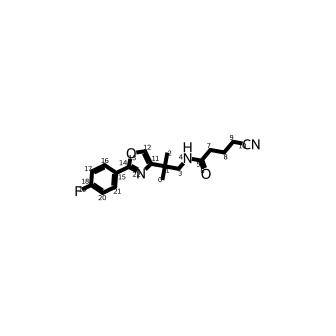 CC(C)(CNC(=O)CCCC#N)c1coc(-c2ccc(F)cc2)n1